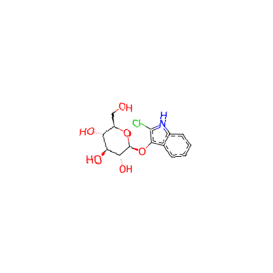 OC[C@H]1O[C@@H](Oc2c(Cl)[nH]c3ccccc23)[C@H](O)[C@@H](O)[C@@H]1O